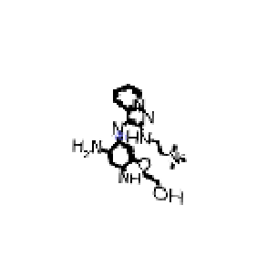 C[N+](C)(C)CCNc1nn2ccccc2c1/N=C1\C=C(OCCO)C(=N)C=C1N